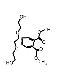 COC(=O)c1ccccc1C(=O)OC.OCCOCCOCCO